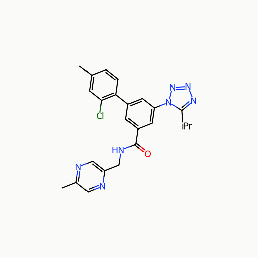 Cc1ccc(-c2cc(C(=O)NCc3cnc(C)cn3)cc(-n3nnnc3C(C)C)c2)c(Cl)c1